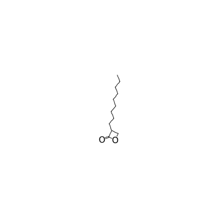 CCCCCCCCCC1COC1=O